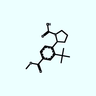 COC(=O)c1ccc(C2CCCN2C(=O)O)c(C(C)(C)C)c1